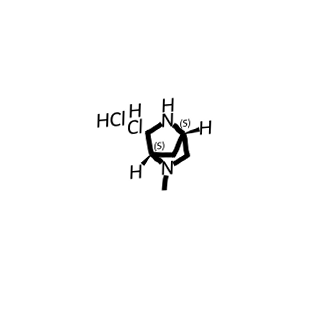 CN1C[C@@H]2C[C@H]1CN2.Cl.Cl